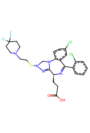 O=C(O)CC[C@@H]1N=C(c2ccccc2Cl)c2cc(Cl)ccc2N2CN(SCCN3CCC(F)(F)CC3)N=C12